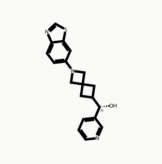 O[C@H](c1cccnc1)C1CC2(C1)CN(c1ccc3ncsc3c1)C2